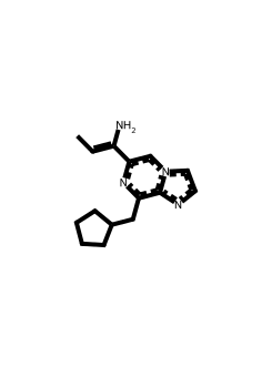 C/C=C(\N)c1cn2ccnc2c(CC2CCCC2)n1